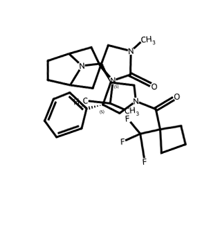 CC(C)N1C(=O)N(C)CC12CC1CCC(C2)N1C[C@H]1CN(C(=O)C2(C(F)(F)F)CCC2)C[C@@H]1c1ccccc1